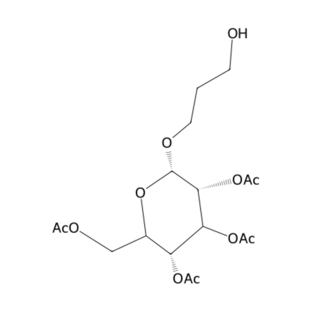 CC(=O)OCC1O[C@H](OCCCO)[C@H](OC(C)=O)C(OC(C)=O)[C@@H]1OC(C)=O